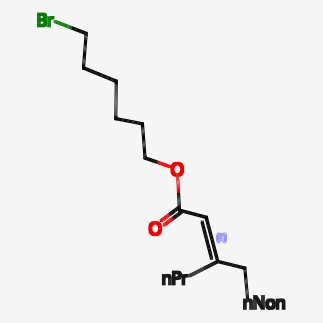 CCCCCCCCCC/C(=C/C(=O)OCCCCCCBr)CCC